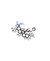 CC1(C)CCC2(C(=O)O)CCC3(C)C(=C(c4coc(CN5CCCC5)c4)CC4C5(C)Cc6c(n[nH]c6N)C(C)(C)C5CCC43C)C2C1